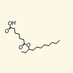 CCCCCCCCC(CC)OC(=O)CCCCCC(=O)O